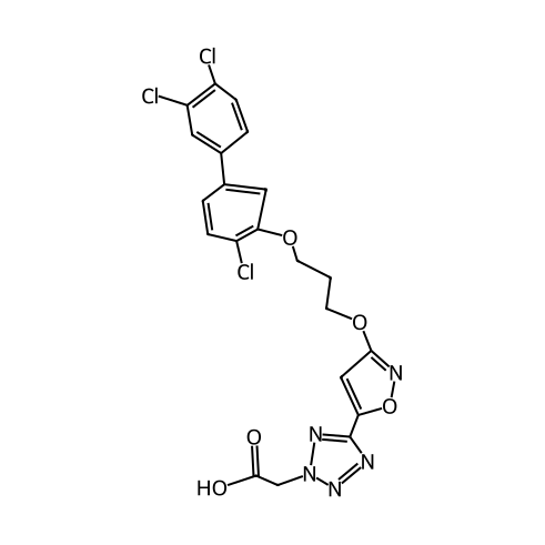 O=C(O)Cn1nnc(-c2cc(OCCCOc3cc(-c4ccc(Cl)c(Cl)c4)ccc3Cl)no2)n1